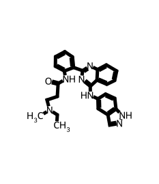 CCN(C)CCC(=O)Nc1ccccc1-c1nc(Nc2ccc3[nH]ncc3c2)c2ccccc2n1